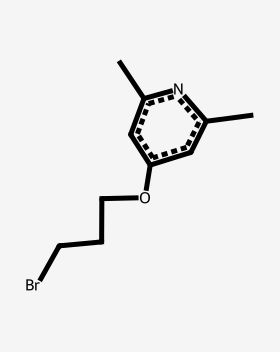 Cc1cc(OCCCBr)cc(C)n1